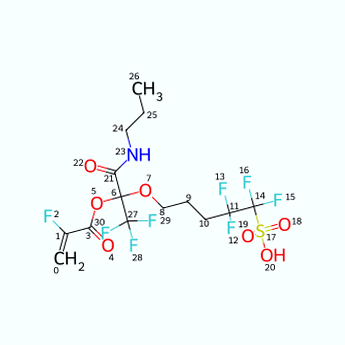 C=C(F)C(=O)OC(OCCCC(F)(F)C(F)(F)S(=O)(=O)O)(C(=O)NCCC)C(F)(F)F